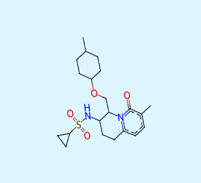 Cc1ccc2n(c1=O)C(COC1CCC(C)CC1)C(NS(=O)(=O)C1CC1)CC2